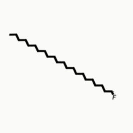 CCCCCCCCCCCCCCCCCCCCC[CH]F